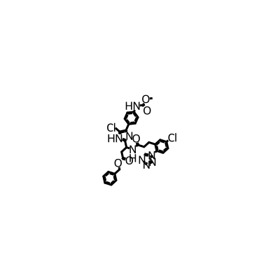 COC(=O)Nc1ccc(-c2nc(C(CC(=O)OCc3ccccc3)NC(=O)CCc3cc(Cl)ccc3-n3cnnn3)[nH]c2Cl)cc1